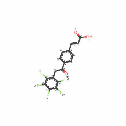 O=C(O)/C=C/c1ccc(C(=O)Cc2c(F)c(F)c(F)c(F)c2F)cc1